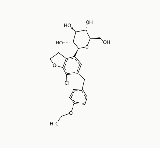 CCOc1ccc(Cc2cc([C@@H]3O[C@H](CO)[C@@H](O)[C@H](O)[C@H]3O)c3c(c2Cl)OCC3)cc1